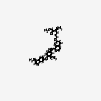 C=CC(=O)N(C)CCCOc1ccc2ncnc(Nc3ccc(Oc4ccc5c(c4)ncn5C)c(C)c3)c2n1